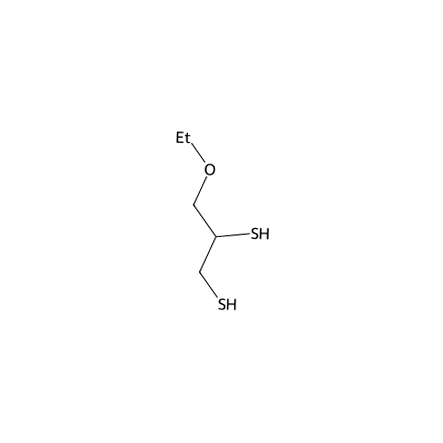 CCOCC(S)CS